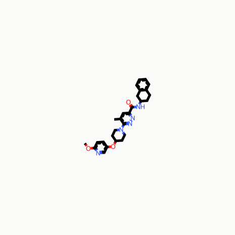 COc1ccc(OC2CCN(c3nnc(C(=O)NC4CCc5ccccc5C4)cc3C)CC2)cn1